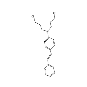 ClCCCN(CCCCl)c1ccc(C=Cc2ccncc2)cc1